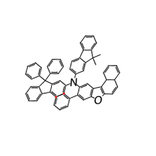 CC1(C)c2ccccc2-c2ccc(N(c3ccc4c(c3)C(c3ccccc3)(c3ccccc3)c3ccccc3-4)c3cc4c5c(oc4cc3-c3ccccc3)C=CC3C=CC=CC53)cc21